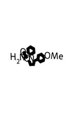 COc1ccc(-c2cccn2-c2ccccc2S(N)(=O)=O)cc1